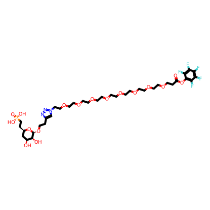 O=C(CCOCCOCCOCCOCCOCCOCCOCCOCCn1cc(CCO[C@H]2O[C@H](CCP(=O)(O)O)C[C@H](O)[C@@H]2O)nn1)Oc1c(F)c(F)c(F)c(F)c1F